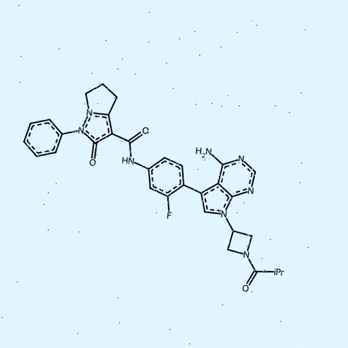 CC(C)C(=O)N1CC(n2cc(-c3ccc(NC(=O)c4c5n(n(-c6ccccc6)c4=O)CCC5)cc3F)c3c(N)ncnc32)C1